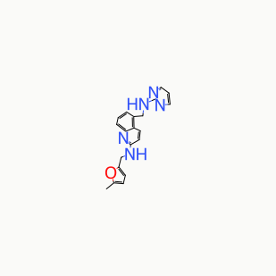 Cc1ccc(CNc2ccc3c(CNc4ncccn4)cccc3n2)o1